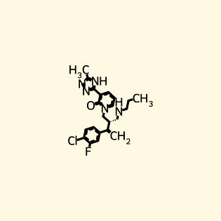 C=C(c1ccc(Cl)c(F)c1)[C@@H](CNCCC)Cn1cccc(-c2nnc(C)[nH]2)c1=O